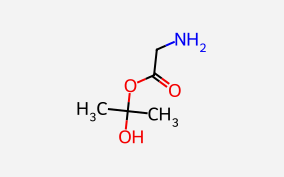 CC(C)(O)OC(=O)CN